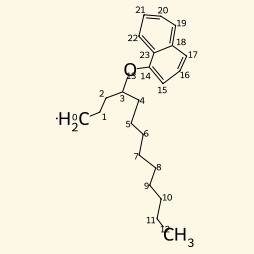 [CH2]CCC(CCCCCCCCC)Oc1cccc2ccccc12